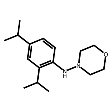 CC(C)c1ccc(NN2CCOCC2)c(C(C)C)c1